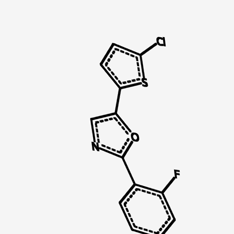 Fc1ccccc1-c1ncc(-c2ccc(Cl)s2)o1